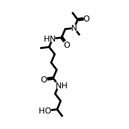 CC(=O)N(C)CC(=O)NC(C)CCCC(=O)NCCC(C)O